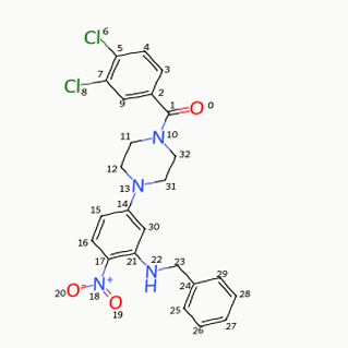 O=C(c1ccc(Cl)c(Cl)c1)N1CCN(c2ccc([N+](=O)[O-])c(NCc3ccccc3)c2)CC1